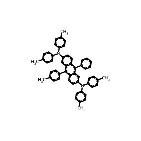 Cc1ccc(-c2c3ccc(N(c4ccc(C)cc4)c4ccc(C)cc4)cc3c(-c3ccccc3)c3ccc(N(c4ccc(C)cc4)c4ccc(C)cc4)cc23)cc1